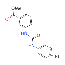 CCc1ccc(NC(=O)Nc2cccc(C(=O)OC)c2)cc1